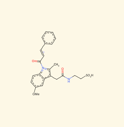 COc1ccc2c(c1)c(CC(=O)NCCS(=O)(=O)O)c(C)n2C(=O)/C=C/c1ccccc1